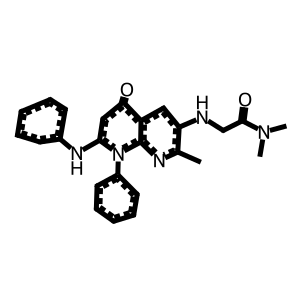 Cc1nc2c(cc1NCC(=O)N(C)C)c(=O)cc(Nc1ccccc1)n2-c1ccccc1